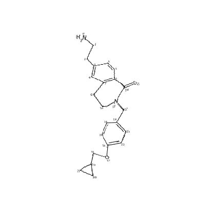 NCCc1ccc2c(c1)CCN(Cc1ccc(OCC3CC3)cc1)C2=O